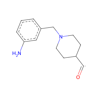 Nc1cccc(CN2CCC([C]=O)CC2)c1